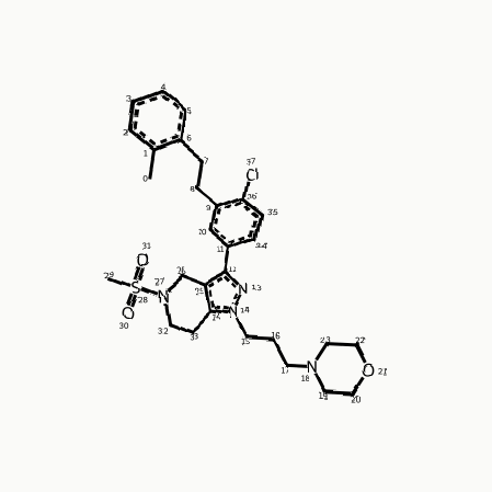 Cc1ccccc1CCc1cc(-c2nn(CCCN3CCOCC3)c3c2CN(S(C)(=O)=O)CC3)ccc1Cl